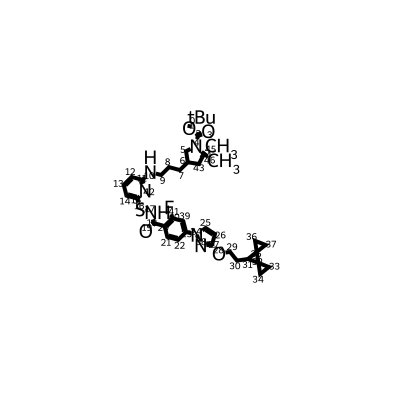 CC(C)(C)OC(=O)N1CC(CCCNc2cccc(SNC(=O)c3ccc(-n4ccc(OCCC5C6(CC6)C56CC6)n4)cc3F)n2)CC1(C)C